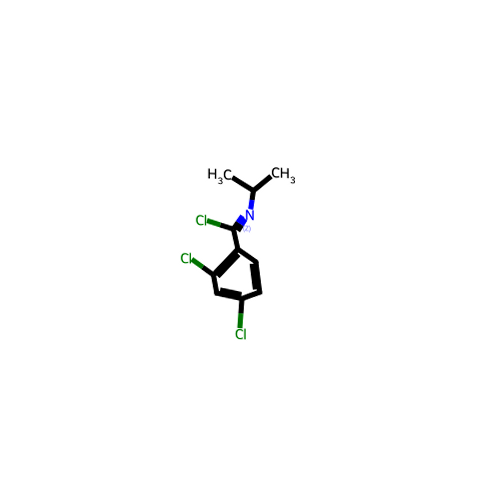 CC(C)/N=C(\Cl)c1ccc(Cl)cc1Cl